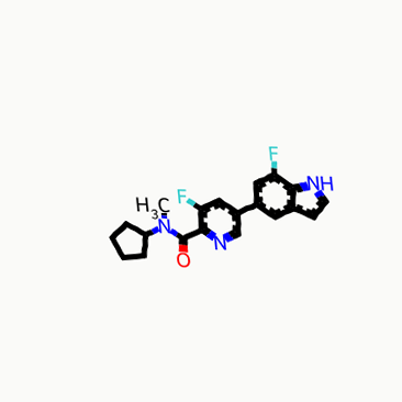 CN(C(=O)c1ncc(-c2cc(F)c3[nH]ccc3c2)cc1F)C1CCCC1